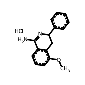 COc1cccc2c1CC(c1ccccc1)N=C2N.Cl